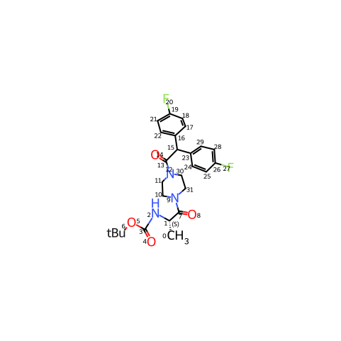 C[C@H](NC(=O)OC(C)(C)C)C(=O)N1CCN(C(=O)C(c2ccc(F)cc2)c2ccc(F)cc2)CC1